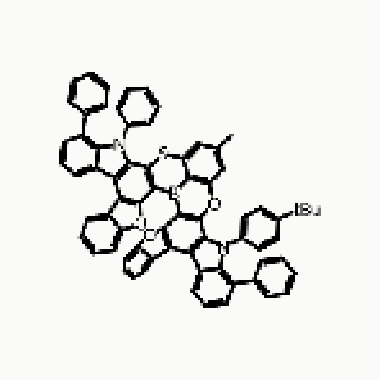 Cc1cc2c3c(c1)Sc1c(c4oc5ccccc5c4c4c5cccc(-c6ccccc6)c5n(-c5ccccc5)c14)B3c1c(c3c(c4cccc(-c5ccccc5)c4n3-c3ccc(C(C)(C)C)cc3)c3c1oc1ccccc13)O2